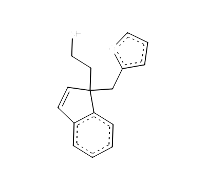 SCCC1(Cc2ccco2)C=Cc2ccccc21